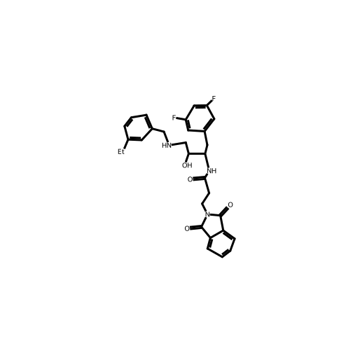 CCc1cccc(CNCC(O)C(Cc2cc(F)cc(F)c2)NC(=O)CCN2C(=O)c3ccccc3C2=O)c1